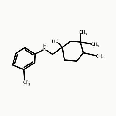 CC1CCC(O)(CNc2cccc(C(F)(F)F)c2)CC1(C)C